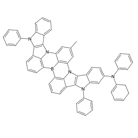 Cc1cc2c3c(c1)-n1c4c(cccc4c4c1c1ccc(N(C5=CC=CCC5)c5ccccc5)cc1n4-c1ccccc1)B3c1cccc3c1n-2c1c2ccccc2n(-c2ccccc2)c31